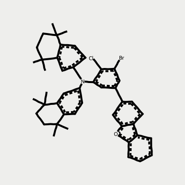 CC1(C)CCC(C)(C)c2cc(N(c3ccc4c(c3)C(C)(C)CCC4(C)C)c3cc(-c4ccc5c(c4)oc4ccccc45)cc(Br)c3Cl)ccc21